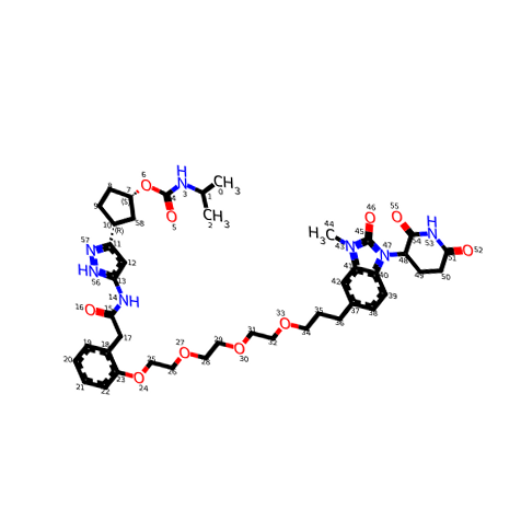 CC(C)NC(=O)O[C@H]1CC[C@@H](c2cc(NC(=O)Cc3ccccc3OCCOCCOCCOCCCc3ccc4c(c3)n(C)c(=O)n4C3CCC(=O)NC3=O)[nH]n2)C1